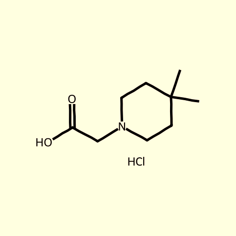 CC1(C)CCN(CC(=O)O)CC1.Cl